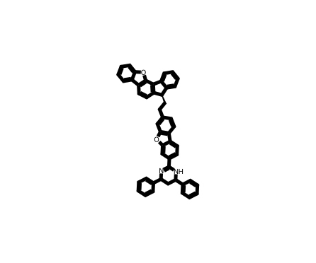 c1ccc(C2CC(c3ccccc3)NC(c3ccc4c(c3)oc3cc(CC[C@@H]5c6ccccc6-c6c5ccc5c6oc6ccccc65)ccc34)=N2)cc1